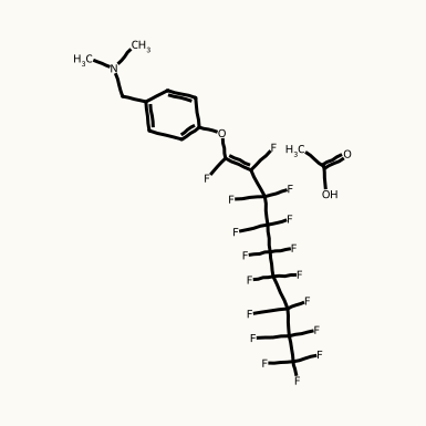 CC(=O)O.CN(C)Cc1ccc(OC(F)=C(F)C(F)(F)C(F)(F)C(F)(F)C(F)(F)C(F)(F)C(F)(F)C(F)(F)F)cc1